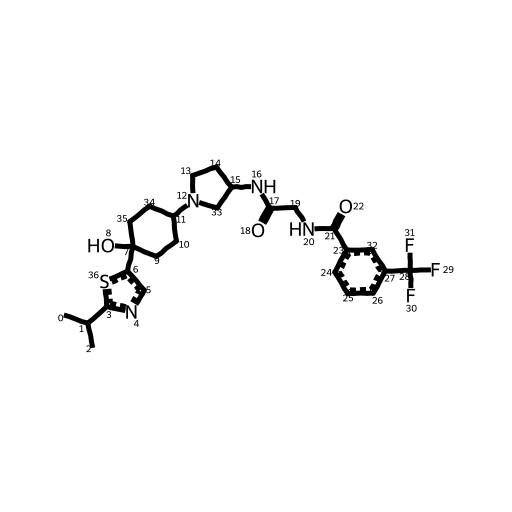 CC(C)c1ncc(C2(O)CCC(N3CCC(NC(=O)CNC(=O)c4cccc(C(F)(F)F)c4)C3)CC2)s1